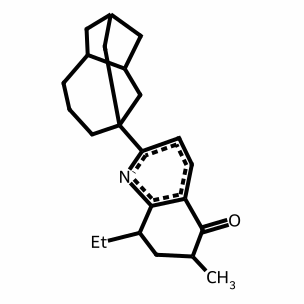 CCC1CC(C)C(=O)c2ccc(C34CCCC5CC(CC5C3)C4)nc21